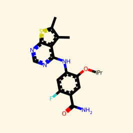 Cc1sc2ncnc(Nc3cc(F)c(C(N)=O)cc3OC(C)C)c2c1C